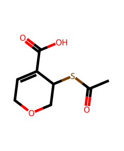 CC(=O)SC1COCC=C1C(=O)O